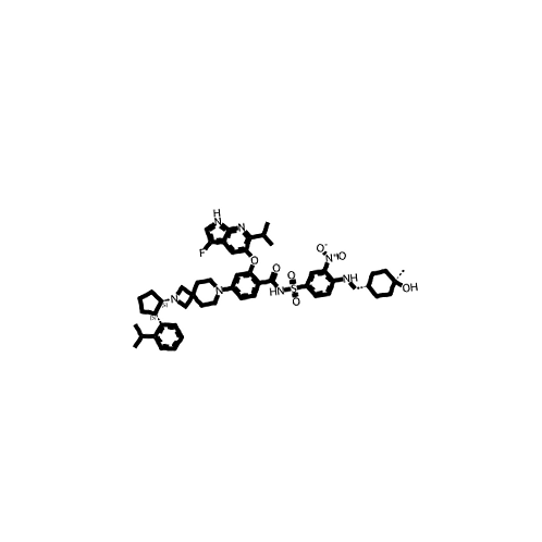 CC(C)c1ccccc1[C@@H]1CCC[C@@H]1N1CC2(CCN(c3ccc(C(=O)NS(=O)(=O)c4ccc(NC[C@H]5CC[C@](C)(O)CC5)c([N+](=O)[O-])c4)c(Oc4cc5c(F)c[nH]c5nc4C(C)C)c3)CC2)C1